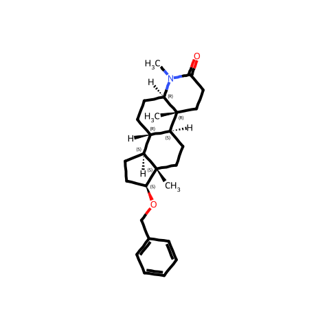 CN1C(=O)CC[C@]2(C)[C@H]3CC[C@]4(C)[C@@H](OCc5ccccc5)CC[C@H]4[C@@H]3CC[C@@H]12